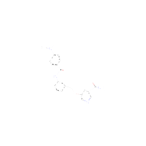 CCN(C(C)=O)c1ccc(C(=O)Nc2cccc(COc3cncc(C(N)=O)c3)c2)cc1